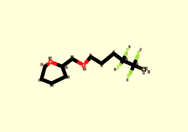 FC(F)(F)C(F)(F)C(F)(F)CCCOCC1CCCCO1